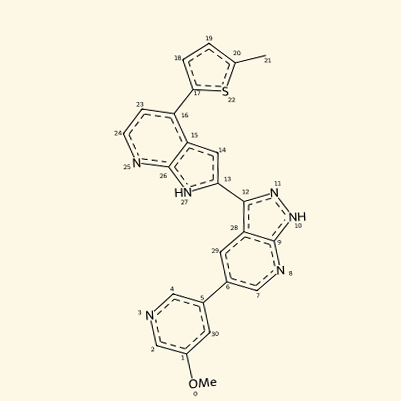 COc1cncc(-c2cnc3[nH]nc(-c4cc5c(-c6ccc(C)s6)ccnc5[nH]4)c3c2)c1